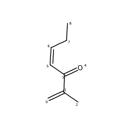 C=C(C)C(=O)/C=C\CC